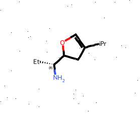 CC[C@@H](N)C1CC(C(C)C)=CO1